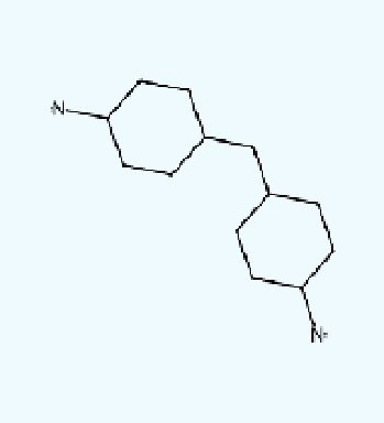 [N]C1CCC(CC2CCC([N])CC2)CC1